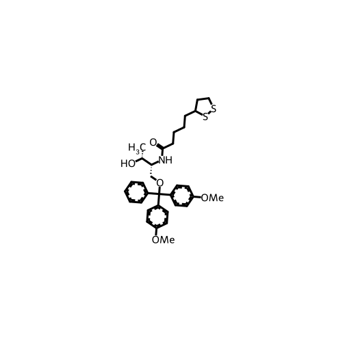 COc1ccc(C(OC[C@@H](NC(=O)CCCCC2CCSS2)[C@@H](C)O)(c2ccccc2)c2ccc(OC)cc2)cc1